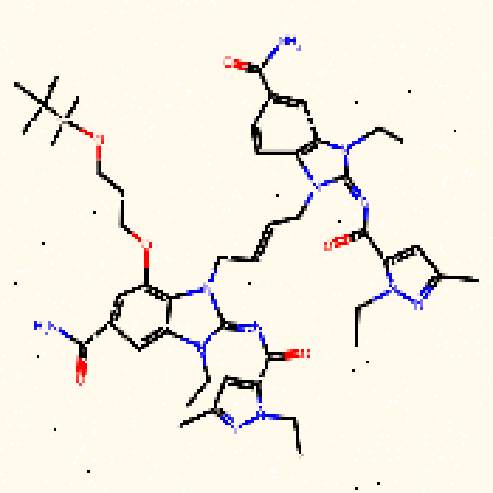 CCn1nc(C)cc1C(=O)/N=c1/n(CC)c2cc(C(N)=O)ccc2n1C/C=C/Cn1/c(=N/C(=O)c2cc(C)nn2CC)n(CC)c2cc(C(N)=O)cc(OCCCO[Si](C)(C)C(C)(C)C)c21